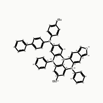 CC(C)(C)c1ccc(N(c2ccc(-c3ccccc3)cc2)c2ccc3c(c2)N(c2ccccc2)c2cc(C(C)(C)C)cc4c2B3c2cc3cocc3cc2N4c2ccccc2)cc1